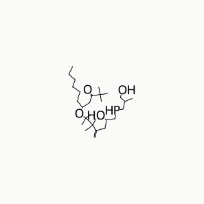 C=C(CC(O)CPCC(C)CO)C(C)(C)C(C)(C)OC(CCCCCC)CC(=O)C(C)(C)C